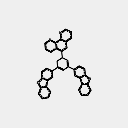 C1=C(c2ccc3sc4ccccc4c3c2)C=C(c2ccc3sc4ccccc4c3c2)CC1c1cc2cccnc2c2ncccc12